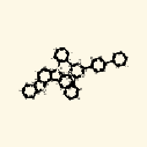 c1ccc(-c2ccc(-c3nc(-c4ccccc4)nc(-c4ccccc4-n4c5ccccc5c5c6oc7ccccc7c6ccc54)n3)cc2)cc1